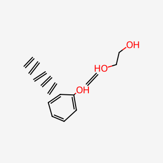 C=C.C=C.C=C.C=C.C=C.C=C.OCCO.Oc1ccccc1